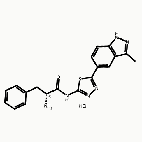 Cc1n[nH]c2ccc(-c3nnc(NC(=O)[C@H](N)Cc4ccccc4)s3)cc12.Cl